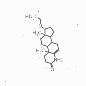 C[C@]12CCC(=O)NC1=CCC1C2CC[C@@]2(C)C1CC[C@@H]2OCC(=O)O